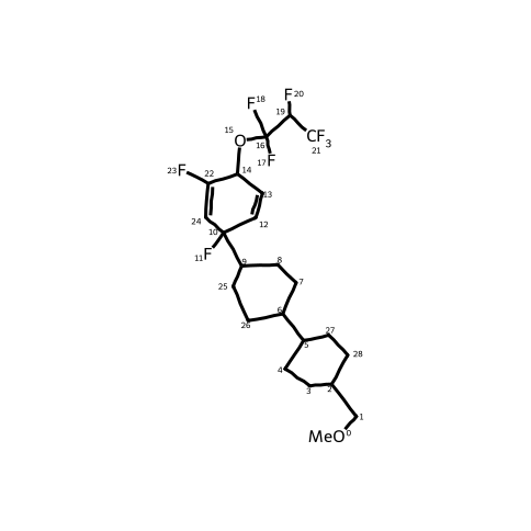 COCC1CCC(C2CCC(C3(F)C=CC(OC(F)(F)C(F)C(F)(F)F)C(F)=C3)CC2)CC1